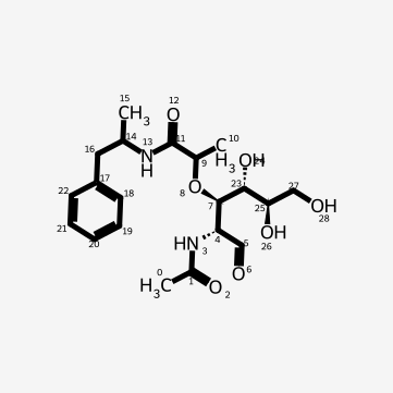 CC(=O)N[C@@H](C=O)[C@@H](OC(C)C(=O)NC(C)Cc1ccccc1)[C@H](O)[C@H](O)CO